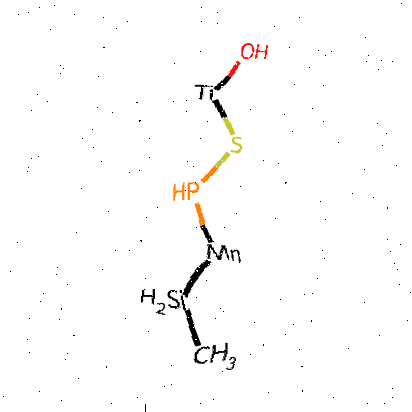 C[SiH2][Mn][PH][S][Ti][OH]